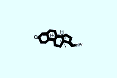 CCCC=C1CC[C@H]2[C@@H]3CCC4=CC(=O)CCC4=C3CC[C@]12C